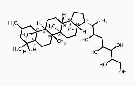 CC1CC(C)(C)[C@@H]2CC[C@]3(C)[C@H](CC[C@@H]4[C@@]5(C)CC[C@H](C(C)C(O)CC(O)C(O)C(O)CO)[C@@H]5CC[C@]43C)[C@@]2(C)C1